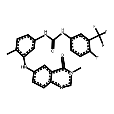 Cc1ccc(NC(=O)Nc2ccc(F)c(C(F)(F)F)c2)cc1Nc1ccc2ncn(C)c(=O)c2c1